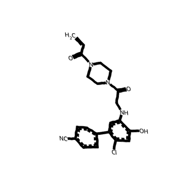 C=CC(=O)N1CCN(C(=O)CNc2cc(-c3ccc(C#N)cc3)c(Cl)cc2O)CC1